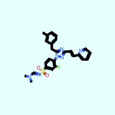 Cc1cccc(Cc2nc(C=Cc3ccccn3)nn2-c2ccc(S(=O)(=O)N=CN(C)C)cc2F)c1